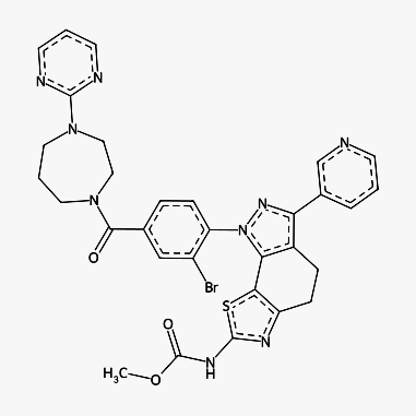 COC(=O)Nc1nc2c(s1)-c1c(c(-c3cccnc3)nn1-c1ccc(C(=O)N3CCCN(c4ncccn4)CC3)cc1Br)CC2